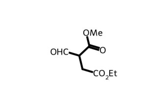 CCOC(=O)CC(C=O)C(=O)OC